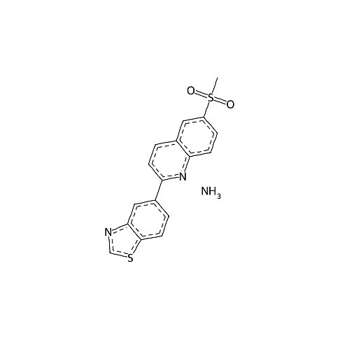 CS(=O)(=O)c1ccc2nc(-c3ccc4scnc4c3)ccc2c1.N